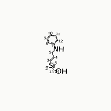 C[Si](C)(C=CCNc1ccccc1)CO